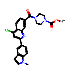 CCCOC(=O)N1CCN(C(=O)c2ccc3c(Cl)cc(-c4ccc5c(ccn5C)c4)nc3c2)CC1